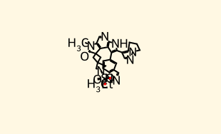 CCS(=O)(=O)N1CC2(C1)CC1(C2)C(=O)N(C)c2cnc3[nH]c(-c4cnn5c4CCC5)c(-c4ccc5c(cnn5C)c4)c3c21